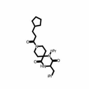 CCCN1C(=O)C(CC(C)C)NC(=O)C12CCN(C(=O)CCC1CCCC1)CC2